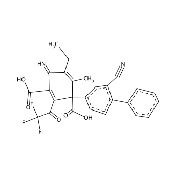 CCC1=C(C)C(C(=O)O)(c2ccc(-c3ccccc3)c(C#N)c2)C(C(=O)C(F)(F)F)=C(C(=O)O)C1=N